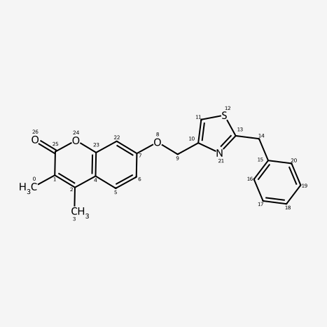 Cc1c(C)c2ccc(OCc3csc(Cc4ccccc4)n3)cc2oc1=O